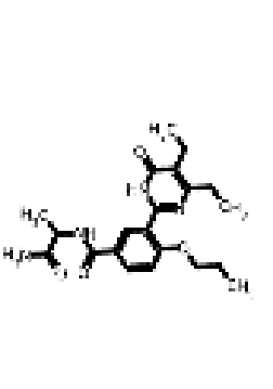 CCCOc1ccc(C(=O)NC(C)C(N)=O)cc1-c1nc(CC)c(CC)c(=O)[nH]1